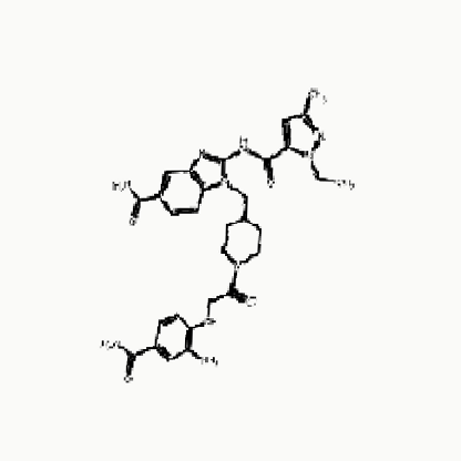 CCn1nc(C)cc1C(=O)Nc1nc2cc(C(N)=O)ccc2n1CC1CCN(C(=O)CNc2ccc(C(N)=O)cc2N)CC1